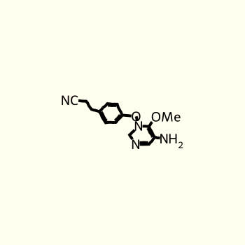 COC1=C(N)C=NCN1Oc1ccc(CCC#N)cc1